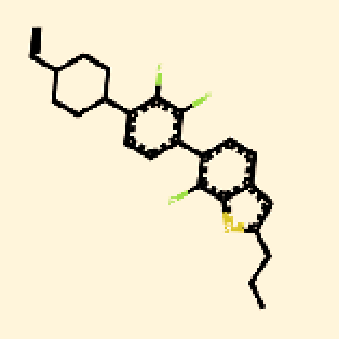 C=CC1CCC(c2ccc(-c3ccc4cc(CCC)sc4c3F)c(F)c2F)CC1